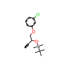 C#CC(COc1cccc(Cl)c1)O[Si](C)(C)C(C)(C)C